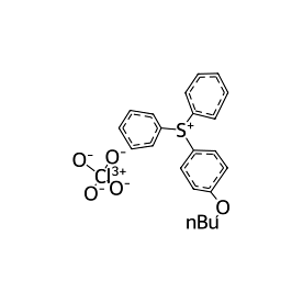 CCCCOc1ccc([S+](c2ccccc2)c2ccccc2)cc1.[O-][Cl+3]([O-])([O-])[O-]